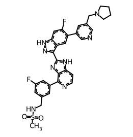 CS(=O)(=O)NCc1cc(F)cc(-c2nccc3[nH]c(-c4n[nH]c5cc(F)c(-c6cncc(CN7CCCC7)c6)cc45)nc23)c1